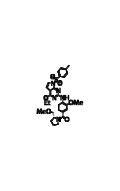 CCOc1nc(Nc2ccc(C(=O)N3CCC[C@@H]3COC)cc2OC)nc2c1ccn2S(=O)(=O)c1ccc(C)cc1